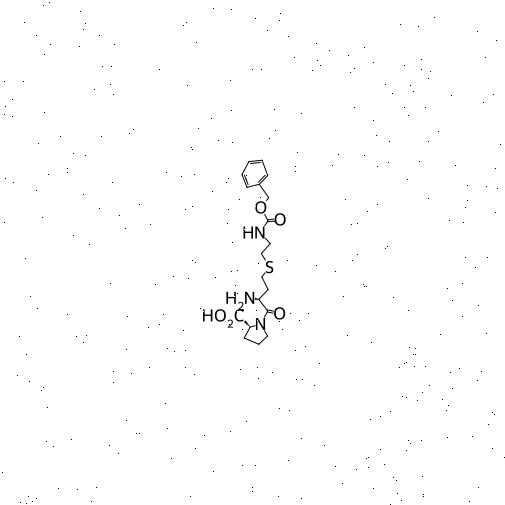 N[C@@H](CCSCCNC(=O)OCc1ccccc1)C(=O)N1CCC[C@H]1C(=O)O